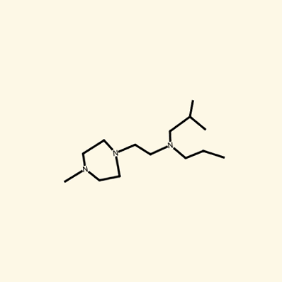 CCCN(CCN1CCN(C)CC1)CC(C)C